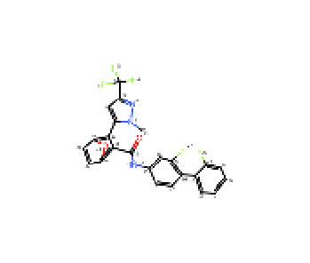 Cn1nc(C(F)(F)F)cc1-c1c(C(=O)Nc2ccc(-c3ccccc3F)c(F)c2)c2ccc1o2